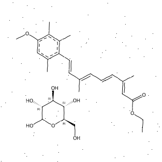 CCOC(=O)C=C(C)C=CC=C(C)C=Cc1c(C)cc(OC)c(C)c1C.OC[C@H]1OC(O)[C@H](O)[C@@H](O)[C@@H]1O